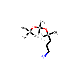 CCCC[Si](C)(C)O[Si](C)(C)O[Si](C)(C)CCCN